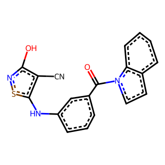 N#Cc1c(O)nsc1Nc1cccc(C(=O)n2ccc3ccccc32)c1